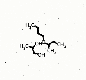 CC(O)CO.CCCCOC(C)CC